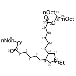 CCCCCCCCCOC(=O)CCCCCC1CN(CC)CC1CCCCCC(=O)OC(CCCCCCCC)CCCCCCCC